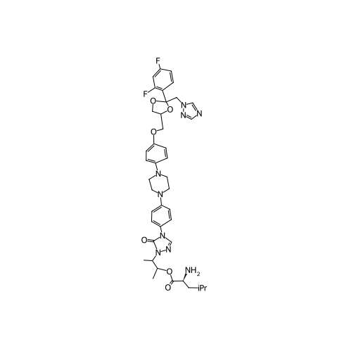 CC(C)C[C@H](N)C(=O)OC(C)C(C)n1ncn(-c2ccc(N3CCN(c4ccc(OCC5COC(Cn6cncn6)(c6ccc(F)cc6F)O5)cc4)CC3)cc2)c1=O